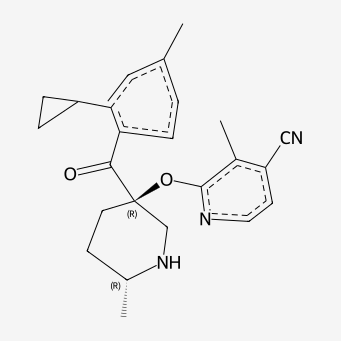 Cc1ccc(C(=O)[C@@]2(Oc3nccc(C#N)c3C)CC[C@@H](C)NC2)c(C2CC2)c1